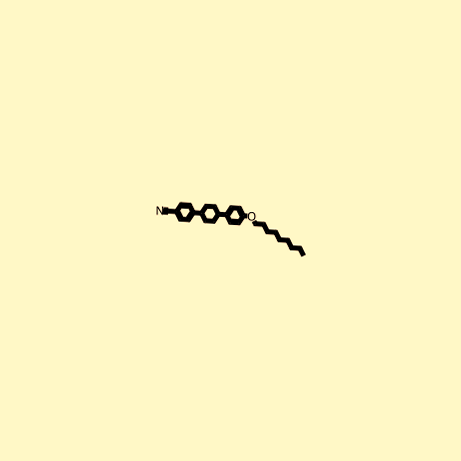 CCCCCCCCCOc1ccc(C2CCC(c3ccc(C#N)cc3)CC2)cc1